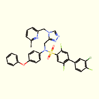 Cc1cccc(Cn2cnnc2CN(c2ccc(Oc3ccccc3)cc2)S(=O)(=O)c2cc(F)c(-c3ccc(F)c(Cl)c3)cc2F)n1